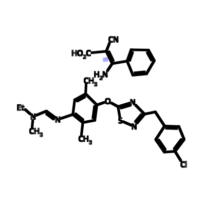 CCN(C)C=Nc1cc(C)c(Oc2nc(Cc3ccc(Cl)cc3)ns2)cc1C.N#C/C(C(=O)O)=C(/N)c1ccccc1